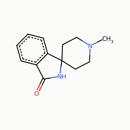 CN1CCC2(CC1)NC(=O)c1ccccc12